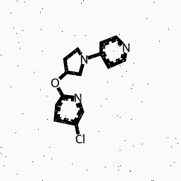 Clc1ccc(OC2CCN(c3ccncc3)C2)nc1